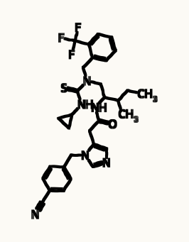 CCC(C)C(CN(Cc1ccccc1C(F)(F)F)C(=S)NC1CC1)NC(=O)Cc1cncn1Cc1ccc(C#N)cc1